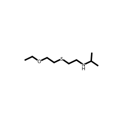 CCOCCSCCNC(C)C